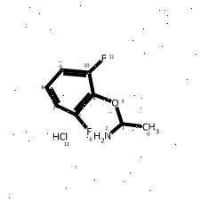 CC(N)Oc1c(F)cccc1F.Cl